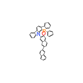 O=P1(c2ccccc2)c2ccccc2-c2ccc3c4ccccc4n(-c4ccc5ccc(-c6ccc7ccccc7c6)cc5c4)c3c21